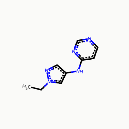 CCn1cc(Nc2ccncn2)cn1